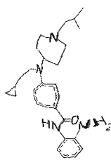 CC(C)CN1CCC(N(CC2CC2)c2ccc(C(=O)Nc3ccccc3N)cc2)CC1